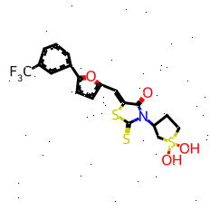 O=C1C(=Cc2ccc(-c3cccc(C(F)(F)F)c3)o2)SC(=S)N1C1CCS(O)(O)C1